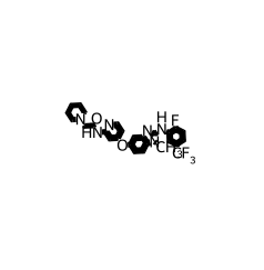 Cn1c(Nc2cc(C(F)(F)F)ccc2F)nc2cc(Oc3ccnc(NC(=O)CN4CCCCC4)c3)ccc21